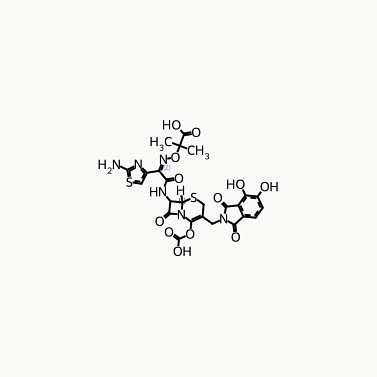 CC(C)(O/N=C(\C(=O)NC1C(=O)N2C(OC(=O)O)=C(CN3C(=O)c4ccc(O)c(O)c4C3=O)CS[C@@H]12)c1csc(N)n1)C(=O)O